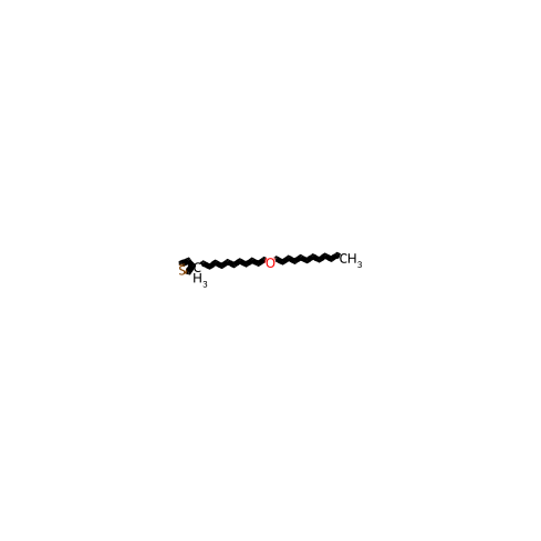 CCCCCCCCCCCCOCCCCCCCCCCCC.c1ccsc1